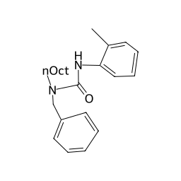 CCCCCCCCN(Cc1ccccc1)C(=O)Nc1ccccc1C